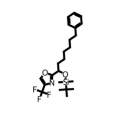 CC(C)(C)[Si](C)(C)OC(CCCCCCc1ccccc1)c1nc(C(F)(F)F)co1